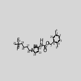 Cc1ccc(C)c(COC(=O)Nc2ccn(CCCCC(C)(F)F)n2)c1